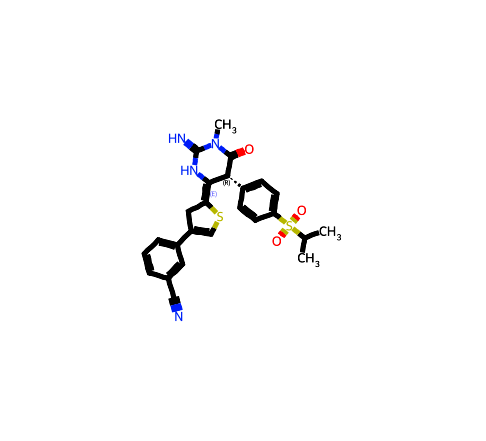 CC(C)S(=O)(=O)c1ccc([C@H]2C(=O)N(C)C(=N)N/C2=C2\CC(c3cccc(C#N)c3)=CS2)cc1